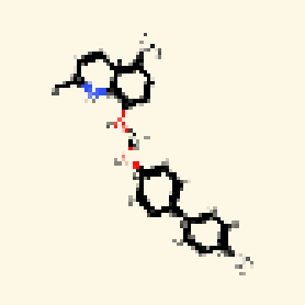 Cc1ccc2c(C(F)(F)F)ccc([O][AlH][O]c3ccc(-c4ccc(C#N)cc4)cc3)c2n1